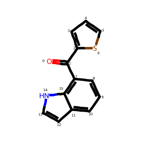 O=C(c1cccs1)c1cccc2cc[nH]c12